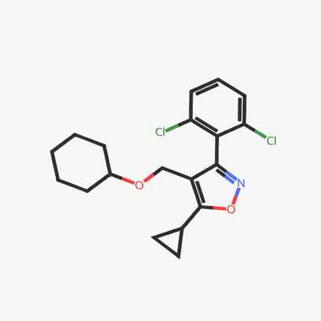 Clc1cccc(Cl)c1-c1noc(C2CC2)c1CO[C]1CCCCC1